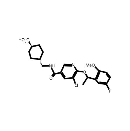 COc1ccc(F)cc1C(C)Oc1ncc(C(=O)NC[C@H]2CC[C@H](C(=O)O)CC2)cc1Cl